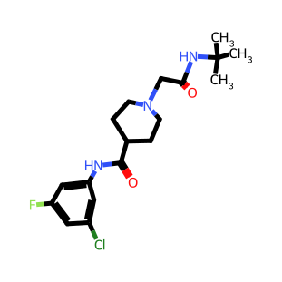 CC(C)(C)NC(=O)CN1CCC(C(=O)Nc2cc(F)cc(Cl)c2)CC1